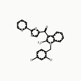 O=C(c1cnc(-c2ccccn2)o1)c1c(C(F)(F)F)n(Cc2ccc(Cl)cc2Cl)c2ccccc12